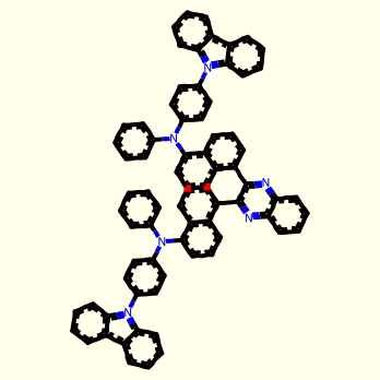 c1ccc(N(c2ccc(-n3c4ccccc4c4ccccc43)cc2)c2cccc3c(-c4nc5ccccc5nc4-c4cccc5c(N(c6ccccc6)c6ccc(-n7c8ccccc8c8ccccc87)cc6)cccc45)cccc23)cc1